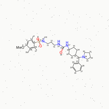 COc1cc(C)c(S(=O)(=O)N(C)CCCNC(=O)NC2CCC(C(c3ccccc3)N3CCCC3)CC2)c(C)c1C